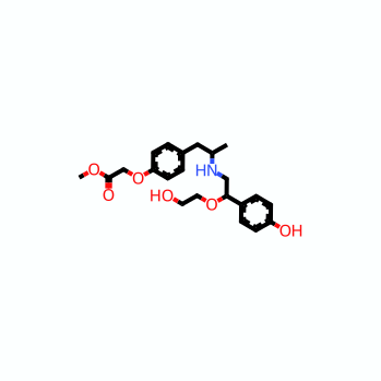 COC(=O)COc1ccc(CC(C)NCC(OCCO)c2ccc(O)cc2)cc1